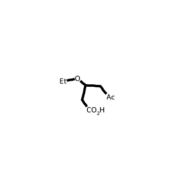 CCOC(CC(C)=O)CC(=O)O